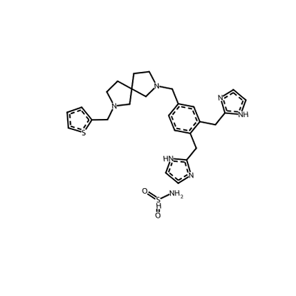 N[SH](=O)=O.c1csc(CN2CCC3(CCN(Cc4ccc(Cc5ncc[nH]5)c(Cc5ncc[nH]5)c4)C3)C2)c1